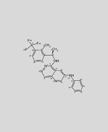 Cc1c([C@@H](C)Nc2nncc3ncc(Nc4ccccc4)cc23)cccc1C(F)(F)F